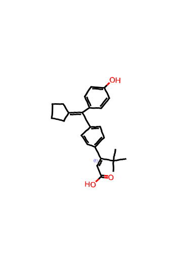 CC(C)(C)/C(=C\C(=O)O)c1ccc(C(=C2CCCC2)c2ccc(O)cc2)cc1